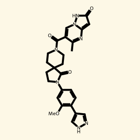 COc1cc(N2CCC3(CCN(C(=O)c4cn5[nH]c(=O)cc5nc4C)CC3)C2=O)ccc1-c1cn[nH]c1